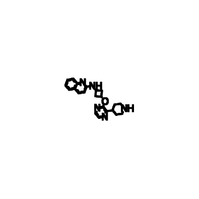 c1ccc2nc(NC3CC(Oc4nccnc4C4CCNCC4)C3)ccc2c1